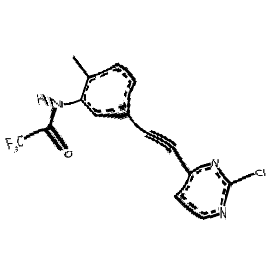 Cc1ccc(C#Cc2ccnc(Cl)n2)cc1NC(=O)C(F)(F)F